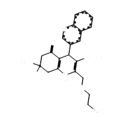 CCOC(=O)C1=C(COCCN)NC2=C(C(=O)CC(C)(C)C2)C1c1cnc2ccccc2c1